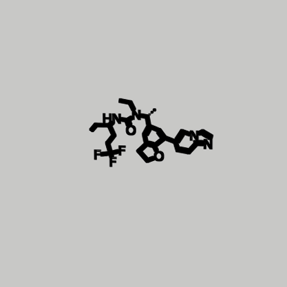 CCC(CCC(F)(F)F)NC(=O)N(CC)[C@H](C)c1cc2c(c(-c3ccc4nccn4c3)c1)OCC2